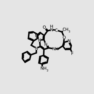 CC1CNC(=O)c2cnn3c(N(Cc4ccccc4)Cc4ccccc4)c(-c4ccc(N)cc4)c(nc23)NCc2cc(F)cnc2O1